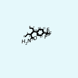 CCC(C(N)=O)=C(CC)c1ccc(C(F)(F)F)cc1